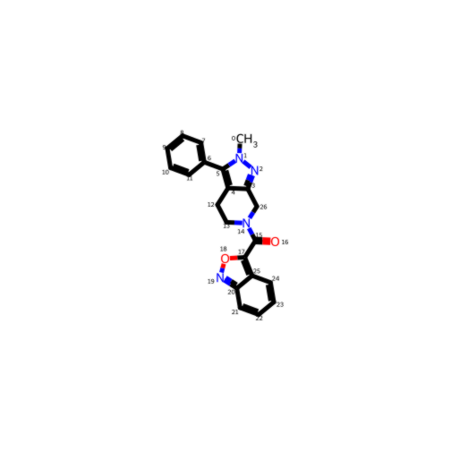 Cn1nc2c(c1-c1ccccc1)CCN(C(=O)c1onc3ccccc13)C2